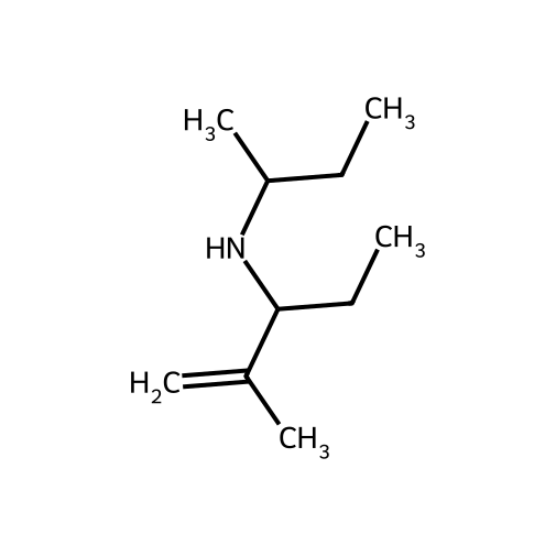 C=C(C)C(CC)NC(C)CC